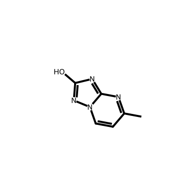 Cc1ccn2nc(O)nc2n1